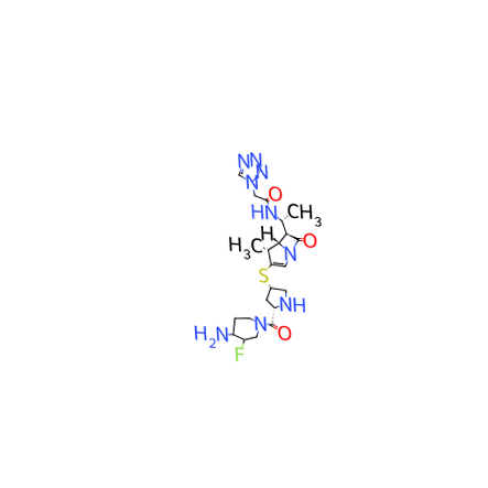 C[C@@H](NC(=O)Cn1cnnn1)[C@H]1C(=O)N2C=C(S[C@@H]3CN[C@H](C(=O)N4CCC(N)C(F)C4)C3)[C@H](C)[C@H]12